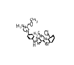 COC[C@H]1CN(c2ccc(Nc3ncc4c(n3)N(C)CN(c3c(Cl)cccc3Cl)C4=O)cc2)CCN1C